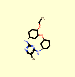 N#Cc1cnc(N[C@H]2CC[C@H](OCC(F)(F)F)CC2)nc1N[C@@H]1CCC[C@H](O)C1